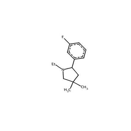 CCN1CC(C)(C)CC1c1cccc(F)c1